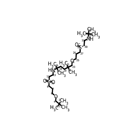 CC(C)(C)COCCCS(=O)(=O)CCNC(C)(C)CCC(C)(C)COCCC[S+]([O-])CCNC(C)(C)C